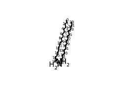 CCCCCCCCCCCCCCCCCC(C)N.CCCCCCCCCCCCCCCCCCN